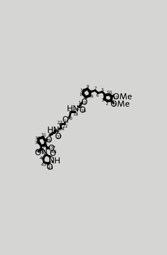 COc1ccc(CCCc2cccc(OCC(=O)NCCCOCCCNC(=O)COc3cccc4c3C(=O)N(C3CCC(=O)NC3=O)C4=O)c2)cc1OC